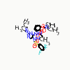 CCC(=O)Oc1c(Nc2nc(N(CC)CC)ncc2NCS(=O)(=O)c2cc(F)cc(F)c2)cccc1OC(=O)N(C)C